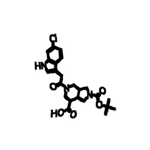 CC(C)(C)OC(=O)N1CC2CN(C(=O)Cc3c[nH]c4cc(Cl)ccc34)CC(C(=O)O)C2C1